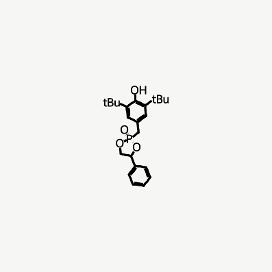 CC(C)(C)c1cc(CP2(=O)OCC(c3ccccc3)O2)cc(C(C)(C)C)c1O